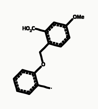 [CH2]c1ccccc1OCc1ccc(OC)cc1C(=O)O